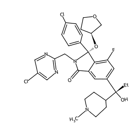 CC[C@](O)(c1cc(F)c2c(c1)C(=O)N(Cc1ncc(Cl)cn1)[C@@]2(O[C@H]1CCOC1)c1ccc(Cl)cc1)C1CCN(C)CC1